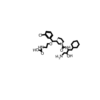 NCC(O)C(CC1CCCCC1)NC(=O)N1CCC[C@@H]([C@@H](OCCNC(=O)O)c2cccc(Cl)c2)C1